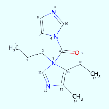 CCC[N+]1(C(=O)n2ccnc2)C=NC(C)=C1CC